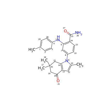 Cc1ccc(Nc2cc(-n3c(C)cc4c3CC(C)(C)CC4=O)ccc2C(N)=O)cc1